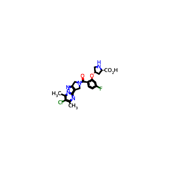 Cc1nc2c3c(nn2c(C)c1Cl)CN(C(=O)c1ccc(F)cc1O[C@@H]1CN[C@H](C(=O)O)C1)C3